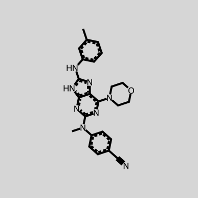 Cc1cccc(Nc2nc3c(N4CCOCC4)nc(N(C)c4ccc(C#N)cc4)nc3[nH]2)c1